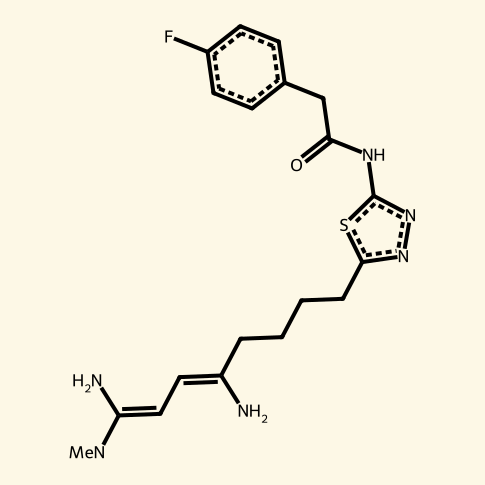 CN/C(N)=C/C=C(\N)CCCCc1nnc(NC(=O)Cc2ccc(F)cc2)s1